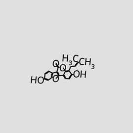 CC(C)=CCc1c(O)ccc2c1oc(=O)c1c3ccc(O)cc3oc21